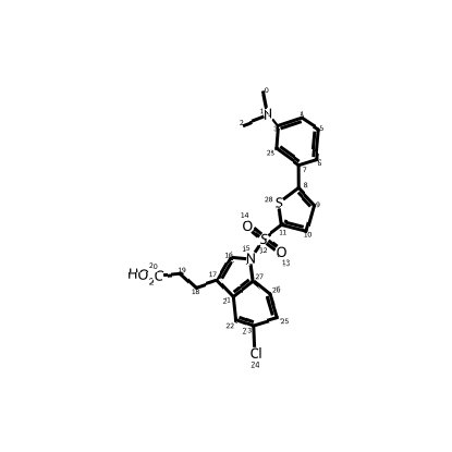 CN(C)c1cccc(-c2ccc(S(=O)(=O)n3cc(CCC(=O)O)c4cc(Cl)ccc43)s2)c1